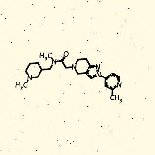 Cc1cc(-n2cc3c(n2)CCN(CC(=O)N(C)CC2CCCN(C)C2)C3)ccn1